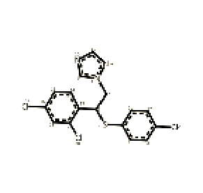 Clc1ccc(SC(Cn2cncn2)c2ccc(Cl)cc2Cl)cc1